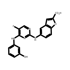 O=C(O)c1cc2cc(Nc3ncc(F)c(Nc4cccc(O)c4)n3)ccc2o1